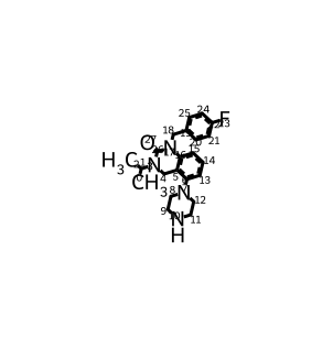 CC(C)N1Cc2c(N3CCNCC3)cccc2N(Cc2ccc(F)cc2)C1=O